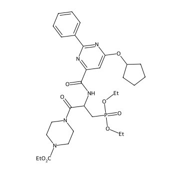 CCOC(=O)N1CCN(C(=O)C(CP(=O)(OCC)OCC)NC(=O)c2cc(OC3CCCC3)nc(-c3ccccc3)n2)CC1